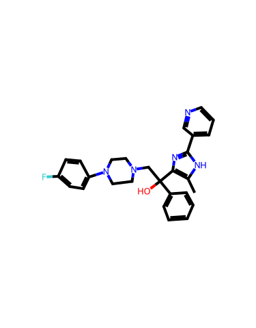 Cc1[nH]c(-c2cccnc2)nc1C(O)(CN1CCN(c2ccc(F)cc2)CC1)c1ccccc1